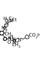 CCN(C)CC(=O)N1Cc2nc(-c3cccc(-c4cccc(N(Cl)C(=O)c5nc6c(n5C)CCN(CCC5CCC(C(=O)O)CC5)C6)c4)c3C)sc2C1